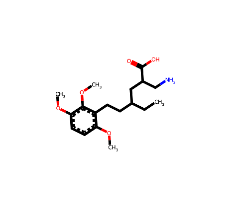 CCC(CCc1c(OC)ccc(OC)c1OC)CC(CN)C(=O)O